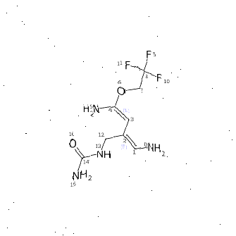 N/C=C(\C=C(/N)OCC(F)(F)F)CNC(N)=O